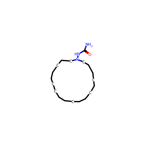 NC(=O)NN1CCCCCCCCCCCCCCCCCC1